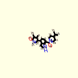 Cc1c(-c2ccc(C(=O)N3CCC(C(C)C)CC3)c3[nH]ccc23)cn(C)c(=O)c1C